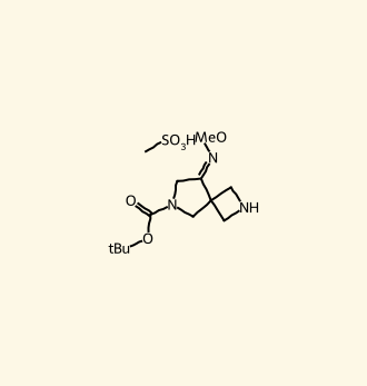 CON=C1CN(C(=O)OC(C)(C)C)CC12CNC2.CS(=O)(=O)O